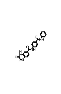 C[C@H]1Sc2ccc(C(=O)Nc3ccc(C(=O)Nc4ccccc4)cc3)cc2NC1=O